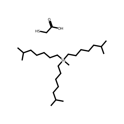 CC(C)CCCC[CH2][Sn]([CH3])([CH2]CCCCC(C)C)[CH2]CCCCC(C)C.O=C(O)CS